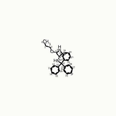 CCCO[C@H]1NC(=O)[C@H]1NC(c1ccccc1)(c1ccccc1)c1ccccc1